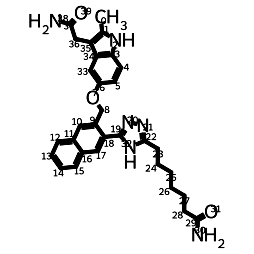 Cc1[nH]c2ccc(OCc3cc4ccccc4cc3-c3nnc(CCCCCCC(N)=O)[nH]3)cc2c1CC(N)=O